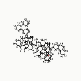 c1ccc([Si]2(c3ccccc3)n3c(nc4ccccc43)N(c3ccc4c5ccccc5c5ccccc5c4c3)c3nc4cc(-c5ccc6nc7n(c6c5)[Si](c5cccc6ccccc56)(c5cccc6ccccc56)n5c(nc6ccccc65)N7c5ccc6ccc7ccccc7c6c5)ccc4n32)cc1